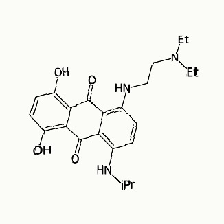 CCN(CC)CCNc1ccc(NC(C)C)c2c1C(=O)c1c(O)ccc(O)c1C2=O